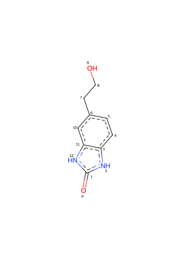 O=c1[nH]c2ccc(CCO)cc2[nH]1